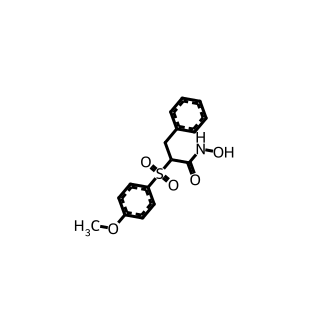 COc1ccc(S(=O)(=O)C(Cc2ccccc2)C(=O)NO)cc1